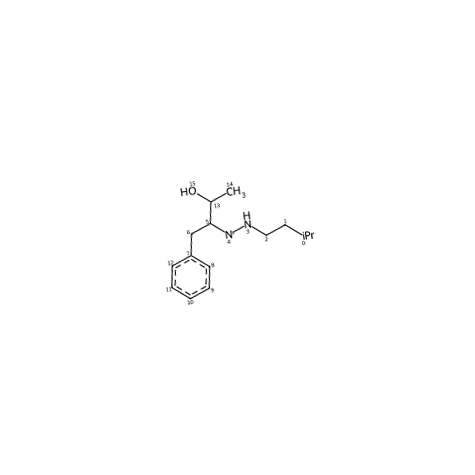 CC(C)CCN[N]C(Cc1ccccc1)C(C)O